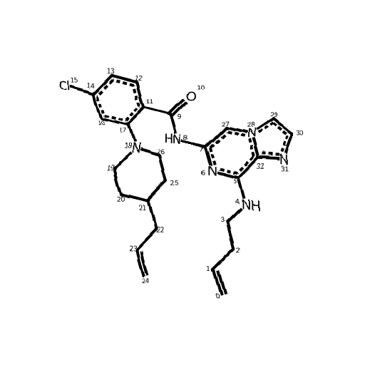 C=CCCNc1nc(NC(=O)c2ccc(Cl)cc2N2CCC(CC=C)CC2)cn2ccnc12